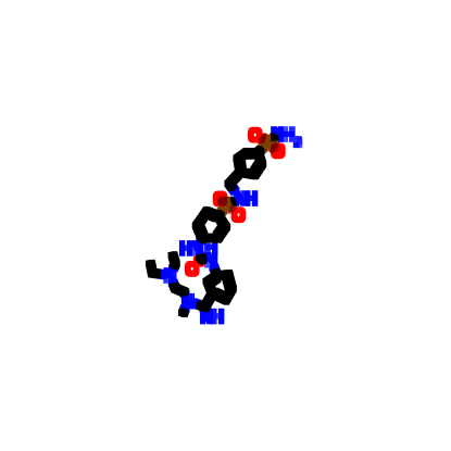 CCN(CC)CCN(C)C(=N)c1cccc(NC(=O)Nc2ccc(S(=O)(=O)NCc3ccc(S(N)(=O)=O)cc3)cc2)c1